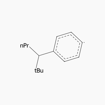 CCCC(c1cc[c]cc1)C(C)(C)C